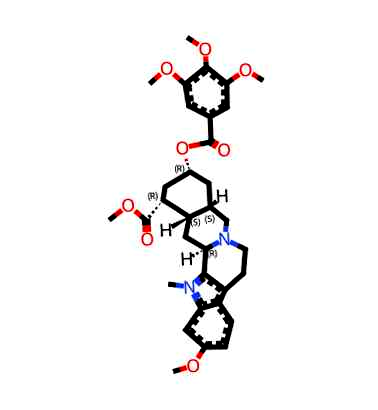 COC(=O)[C@@H]1C[C@H](OC(=O)c2cc(OC)c(OC)c(OC)c2)C[C@@H]2CN3CCc4c(n(C)c5cc(OC)ccc45)[C@H]3C[C@@H]21